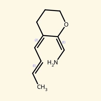 C/C=C/C=C1/CCCO/C1=C/N